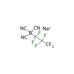 N#C[B-](C#N)(C#N)C(F)(F)C(F)(F)C(F)(F)F.[Na+]